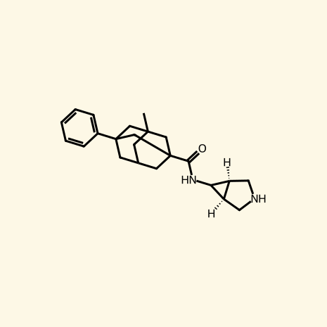 CC12CC3CC(C(=O)NC4[C@H]5CNC[C@@H]45)(C1)CC(c1ccccc1)(C3)C2